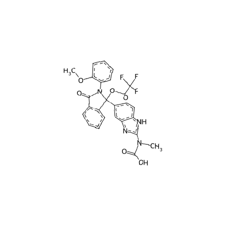 COc1ccccc1N1C(=O)c2ccccc2C1(OC(=O)C(F)(F)F)c1ccc2[nH]c(N(C)C(=O)O)nc2c1